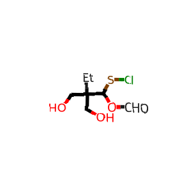 CCC(CO)(CO)C(OC=O)SCl